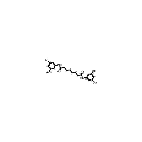 CC(=O)c1cc(NC(=O)CCCCCCC(=O)Nc2cc(C(C)=O)cc(C(C)=O)c2)cc(C(C)=O)c1